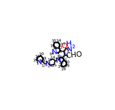 Cn1cc(/C(C(N)=O)=C(/C=O)c2cn(C3CCN(Cc4ccccn4)CC3)c3ccccc23)c2ccccc21